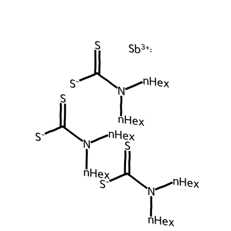 CCCCCCN(CCCCCC)C(=S)[S-].CCCCCCN(CCCCCC)C(=S)[S-].CCCCCCN(CCCCCC)C(=S)[S-].[Sb+3]